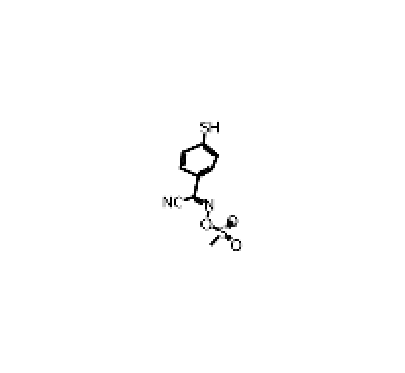 CS(=O)(=O)ON=C(C#N)c1ccc(S)cc1